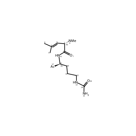 CN[C@@H](C=C(C)C)C(=O)N[C@@H](CCCNC(N)=O)C(C)=O